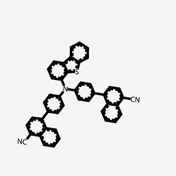 N#Cc1ccc(-c2ccc(N(c3ccc(-c4ccc(C#N)c5ccccc45)cc3)c3cccc4c3sc3ccccc34)cc2)c2ccccc12